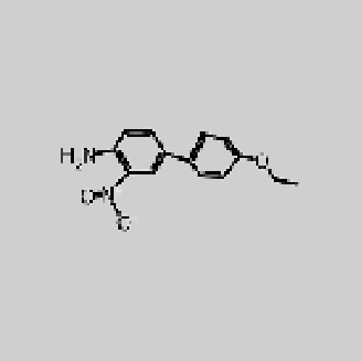 CCOc1ccc(-c2ccc(N)c([N+](=O)[O-])c2)cc1